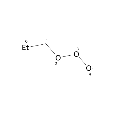 CCCOO[O]